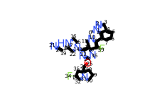 Cn1ncc2cccc(-c3ncc4c(N5CCN[C@@H](CC#N)C5)nc(OCC56CCCN5C[C@H](F)C6)nc4c3F)c21